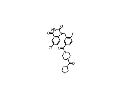 O=C(c1ccc(F)c(Cn2c(=O)[nH]c(=O)c3cc(Cl)ccc32)c1)N1CCN(C(=O)C2CCCC2)CC1